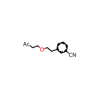 CC(=O)CCOCCc1cccc(C#N)c1